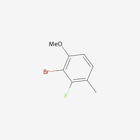 COc1ccc(C)c(F)c1Br